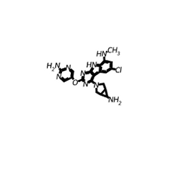 CNc1cc(Cl)cc2c1[nH]c1nc(Oc3cnc(N)nc3)nc(N3CC4C(N)C4C3)c12